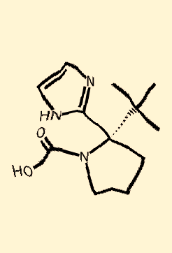 CC(C)(C)[C@]1(c2ncc[nH]2)CCCN1C(=O)O